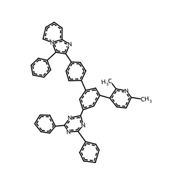 Cc1ccc(-c2cc(-c3ccc(-c4nc5ccccn5c4-c4ccccc4)cc3)cc(-c3nc(-c4ccccc4)nc(-c4ccccc4)n3)c2)c(C)n1